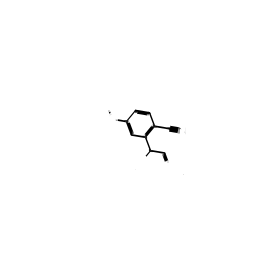 [CH2]C(C=C)c1cc(OC)ccc1C#N